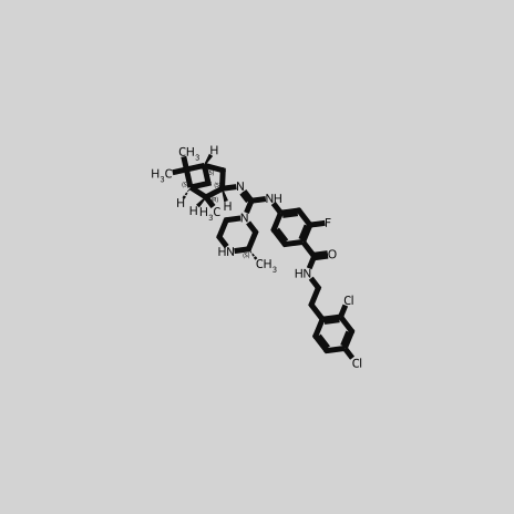 C[C@H]1[C@@H](N=C(Nc2ccc(C(=O)NCCc3ccc(Cl)cc3Cl)c(F)c2)N2CCN[C@@H](C)C2)C[C@@H]2C[C@@H]1C2(C)C